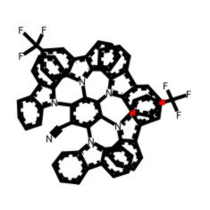 N#Cc1c(-n2c3ccccc3c3ccccc32)c(-n2c3ccccc3c3cc(C(F)(F)F)ccc32)c(-n2c3ccccc3c3ccccc32)c(-n2c3ccccc3c3cc(C(F)(F)F)ccc32)c1-n1c2ccccc2c2ccccc21